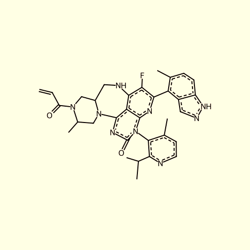 C=CC(=O)N1CC2CNc3c(F)c(-c4c(C)ccc5[nH]ncc45)nc4c3c(nc(=O)n4-c3c(C)ccnc3C(C)C)N2CC1C